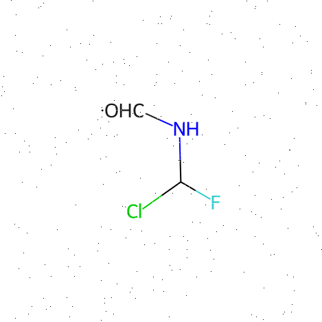 O=[C]NC(F)Cl